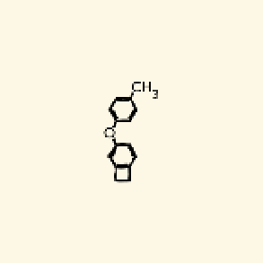 Cc1ccc(Oc2ccc3c(c2)CC3)cc1